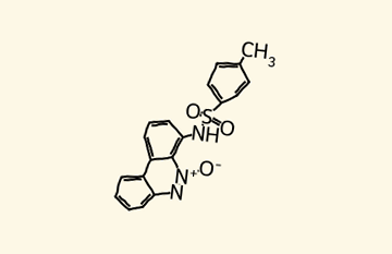 Cc1ccc(S(=O)(=O)Nc2cccc3c4ccccc4n[n+]([O-])c23)cc1